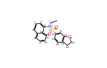 CCN(c1cccc2ccccc12)S(=O)(=O)c1ccc2c(c1)OCC2